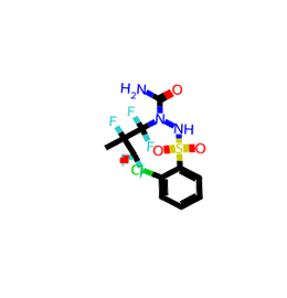 CC(F)(C(F)(F)F)C(F)(F)N(NS(=O)(=O)c1ccccc1Cl)C(N)=O